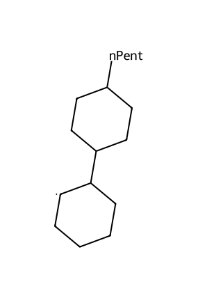 CCCCCC1CCC(C2[CH]CCCC2)CC1